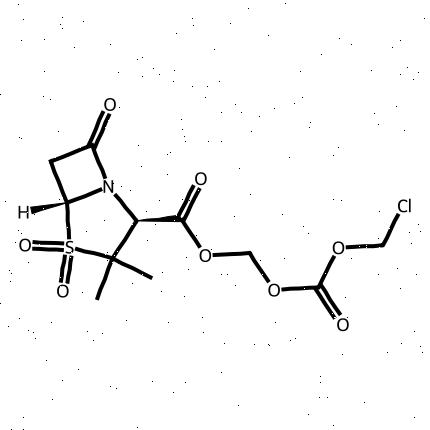 CC1(C)[C@H](C(=O)OCOC(=O)OCCl)N2C(=O)C[C@H]2S1(=O)=O